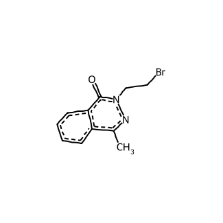 Cc1nn(CCBr)c(=O)c2ccccc12